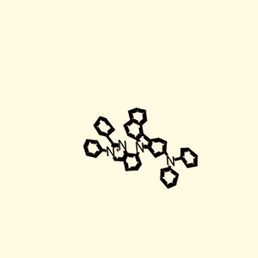 c1ccc(-c2nc3c(-n4c5cc(N(c6ccccc6)c6ccccc6)ccc5c5c6ccccc6ccc54)cccc3c[n+]2-c2ccccc2)cc1